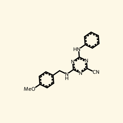 COc1ccc(CNc2nc(C#N)nc(Nc3ccccc3)n2)cc1